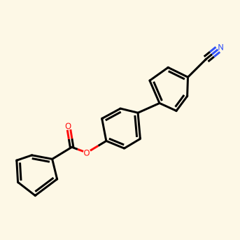 N#Cc1ccc(-c2ccc(OC(=O)c3ccccc3)cc2)cc1